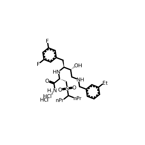 CCCC(CCC)S(=O)(=O)C[C@@H](N[C@@H](Cc1cc(F)cc(F)c1)[C@H](O)CNCc1cccc(CC)c1)C(N)=O.Cl.Cl